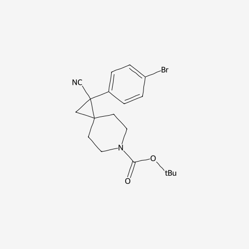 CC(C)(C)OC(=O)N1CCC2(CC1)CC2(C#N)c1ccc(Br)cc1